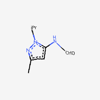 Cc1cc(NC=O)n(C(C)C)n1